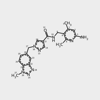 Cc1cc(N)nc(C)c1CNC(=O)c1cnn(Cc2ccc3c(c2)nnn3C)c1